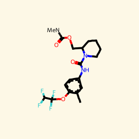 CNC(=O)OCC1CCCCN1C(=O)Nc1ccc(OC(F)(F)C(F)F)c(C)c1